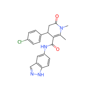 CC1=C(C(=O)Nc2ccc3[nH]ncc3c2)C(c2ccc(Cl)cc2)CC(=O)N1C